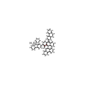 CC1(c2ccccc2)c2ccccc2-c2ccc(-c3ccc(N(c4ccc5c(ccc6ccccc65)c4)c4ccccc4-c4ccccc4-c4ccccc4-c4ccccc4)cc3)cc21